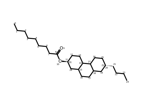 CCCCCCCCC(=O)O[C@H]1CCC2C(CCC3C[C@@H](CCCC)CCC32)C1